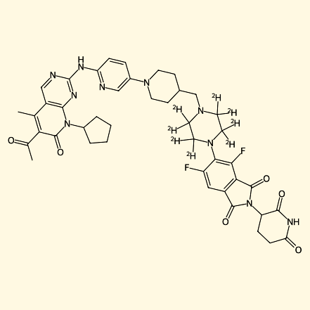 [2H]C1([2H])N(CC2CCN(c3ccc(Nc4ncc5c(C)c(C(C)=O)c(=O)n(C6CCCC6)c5n4)nc3)CC2)C([2H])([2H])C([2H])([2H])N(c2c(F)cc3c(c2F)C(=O)N(C2CCC(=O)NC2=O)C3=O)C1([2H])[2H]